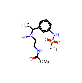 CCN(CCNC(=O)OC)C(C)c1cccc(NS(C)(=O)=O)c1